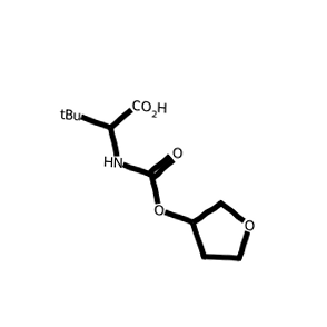 CC(C)(C)C(NC(=O)OC1CCOC1)C(=O)O